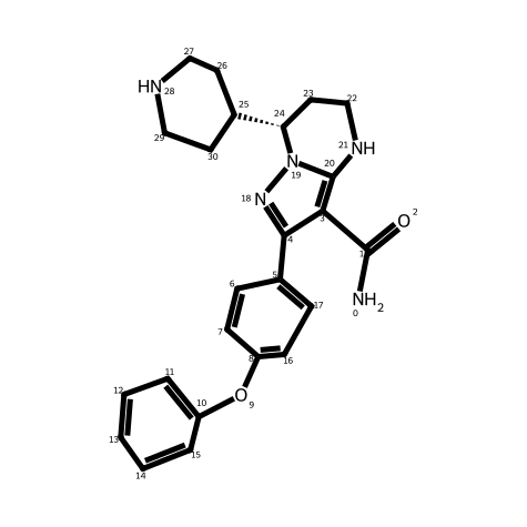 NC(=O)c1c(-c2ccc(Oc3ccccc3)cc2)nn2c1NCC[C@H]2C1CCNCC1